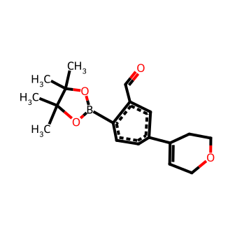 CC1(C)OB(c2ccc(C3=CCOCC3)cc2C=O)OC1(C)C